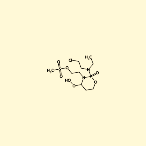 CCN(CCCl)P1(=O)OCCC(OO)N1CCOS(C)(=O)=O